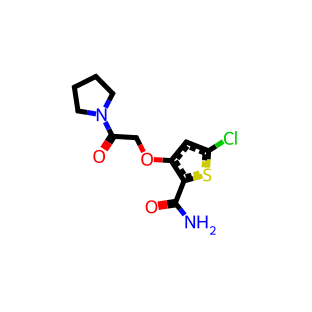 NC(=O)c1sc(Cl)cc1OCC(=O)N1CCCC1